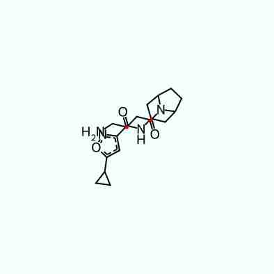 NCCCC(=O)N1C2CCC1CC(NC(=O)c1cc(C3CC3)on1)C2